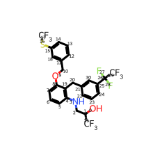 OC(CNc1cccc(OCc2cccc(SC(F)(F)F)c2)c1Cc1cccc(C(F)(F)C(F)(F)F)c1)C(F)(F)F